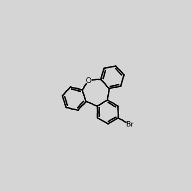 Brc1ccc2c(c1)-c1ccccc1Oc1ccccc1-2